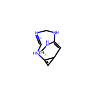 CN/C1=C\C2C=C2N/C=N/CN1